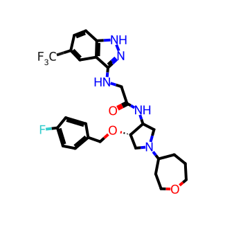 O=C(CNc1n[nH]c2ccc(C(F)(F)F)cc12)NC1CN(C2CCCOCC2)C[C@@H]1OCc1ccc(F)cc1